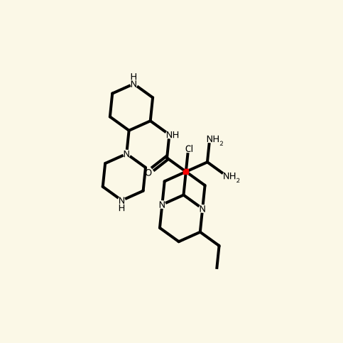 CCC1CCN2CC(Cl)CN1C2C(C(=O)NC1CNCCC1N1CCNCC1)C(N)N